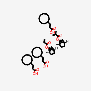 C=C(C)C(=O)O[C@H]1C[C@@H]2CC[C@@]1(C)C2(C)C.C=CC(=O)O[C@H]1C[C@@H]2CC[C@@]1(C)C2(C)C.O=C(O)/C=C/C1CCCCCCCCC1.O=C(O)/C=C/C1CCCCCCCCC1.O=C(O)/C=C/C1CCCCCCCCC1